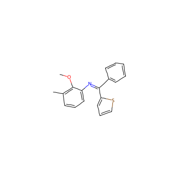 COc1c(C)cccc1N=C(c1ccccc1)c1cccs1